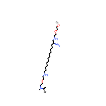 C=C(CC)N(C)CCOCCNCCCCCCCCCCCCC/C(N)=C/NCCOCCOCC